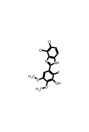 COc1cc(-c2nc3c(Cl)c(Cl)ccc3[nH]2)c(F)c(O)c1OC